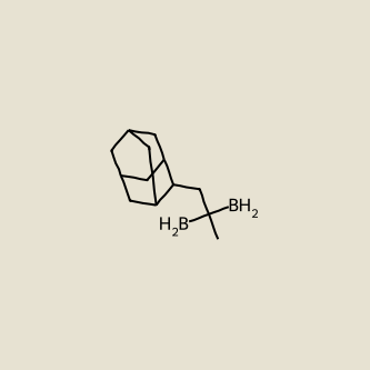 BC(B)(C)CC1C2CC3CC(C2)CC1C3